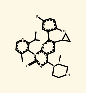 Cc1ccnc(C(C)C)c1-n1c(=O)nc(N2CCNC[C@@H]2C)c2cc(C3CC3)c(-c3cc(F)ccc3O)nc21